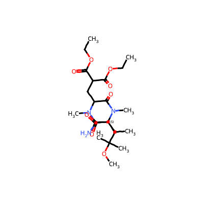 CCCC(=O)N(C)C(CC(C(=O)OCC)C(=O)OCC)C(=O)N(C)[C@@H](CC(C)(C)OC)C(N)=O